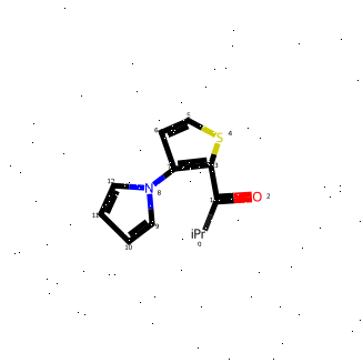 CC(C)C(=O)c1sccc1-n1cccc1